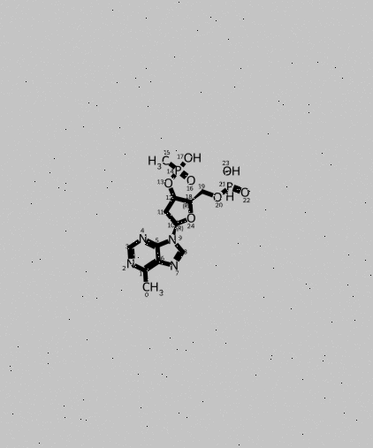 Cc1ncnc2c1ncn2[C@H]1CC(OP(C)(=O)O)[C@@H](CO[PH](=O)O)O1